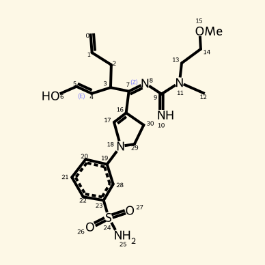 C=CCC(/C=C/O)/C(=N/C(=N)N(C)CCOC)C1=CN(c2cccc(S(N)(=O)=O)c2)CC1